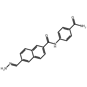 NN=Cc1ccc2cc(C(=O)Nc3ccc(C(N)=O)cc3)ccc2c1